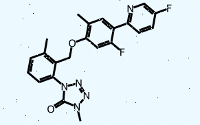 Cc1cc(-c2ccc(F)cn2)c(F)cc1OCc1c(C)cccc1-n1nnn(C)c1=O